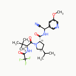 COc1cncc(C(C#N)NC(=O)[C@@H]2C[C@@H](C(C)C)CN2C(=O)[C@@H](NC(=O)C(F)(F)F)C(C)(C)C)c1